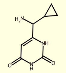 NC(c1cc(=O)[nH]c(=O)[nH]1)C1CC1